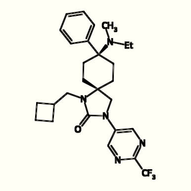 CCN(C)[C@]1(c2ccccc2)CC[C@@]2(CC1)CN(c1cnc(C(F)(F)F)nc1)C(=O)N2CC1CCC1